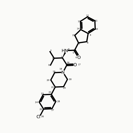 CC(C)[C@@H](NC(=O)C1Cc2ccccc2C1)C(=O)N1CCC(c2ccc(Cl)cc2)CC1